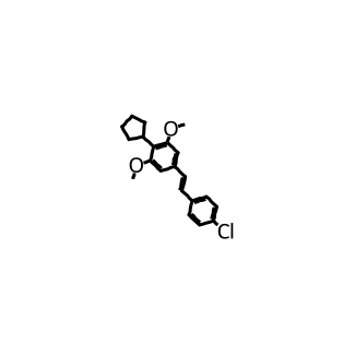 COc1cc(C=Cc2ccc(Cl)cc2)cc(OC)c1C1CCCC1